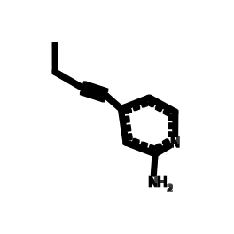 CCC#Cc1ccnc(N)c1